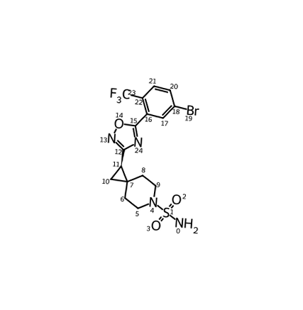 NS(=O)(=O)N1CCC2(CC1)C[C@H]2c1noc(-c2cc(Br)ccc2C(F)(F)F)n1